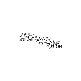 NC(Cc1ccc(-c2cnc(NCc3ccc(-c4ccccc4)cc3)cn2)cc1)C(=O)O